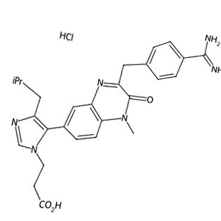 CC(C)Cc1ncn(CCC(=O)O)c1-c1ccc2c(c1)nc(Cc1ccc(C(=N)N)cc1)c(=O)n2C.Cl